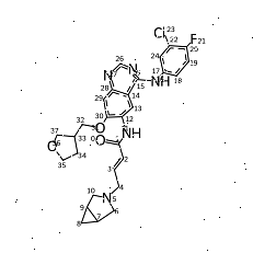 O=C(C=CCN1CC2CC2C1)Nc1cc2c(Nc3ccc(F)c(Cl)c3)ncnc2cc1OCC1CCOC1